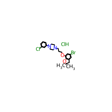 CC1(C)Cc2cc(Br)cc(OCCCN3CCN(c4cccc(Cl)c4)CC3)c2O1.Cl